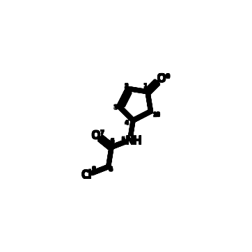 O=C1C=CC(NC(=O)CCl)C1